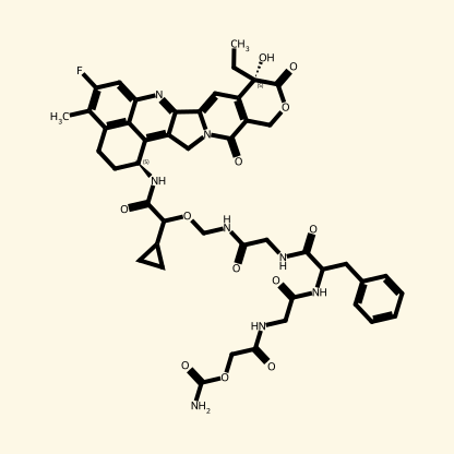 CC[C@@]1(O)C(=O)OCc2c1cc1n(c2=O)Cc2c-1nc1cc(F)c(C)c3c1c2[C@@H](NC(=O)C(OCNC(=O)CNC(=O)C(Cc1ccccc1)NC(=O)CNC(=O)COC(N)=O)C1CC1)CC3